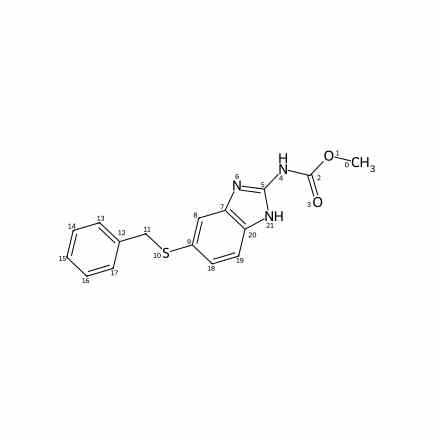 COC(=O)Nc1nc2cc(SCc3ccccc3)ccc2[nH]1